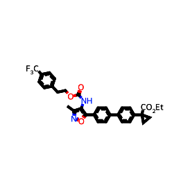 CCOC(=O)C1(c2ccc(-c3ccc(-c4onc(C)c4NC(=O)OCCc4ccc(C(F)(F)F)cc4)cc3)cc2)CC1